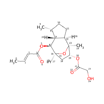 C/C=C/C(=O)O[C@H]1[C@@H]2[C@H](C)CC[C@H]2[C@]2(C)O[C@@]1(C(C)C)C[C@H]2OC(=O)CO